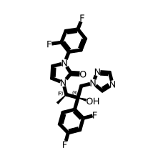 C[C@@H](n1ccn(-c2ccc(F)cc2F)c1=O)[C@](O)(Cn1cncn1)c1ccc(F)cc1F